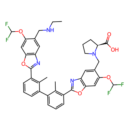 CCNCc1cc2nc(-c3cccc(-c4cccc(-c5nc6cc(CN7CCC[C@H]7C(=O)O)c(OC(F)F)cc6o5)c4C)c3C)oc2cc1OC(F)F